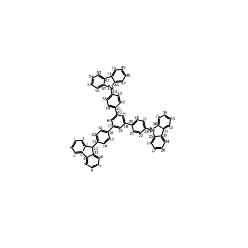 c1ccc2c(c1)-c1ccccc1C2c1ccc(-c2cc(-c3ccc(-n4c5ccccc5c5ccccc54)cc3)cc(-c3ccc(-n4c5ccccc5c5ccccc54)cc3)c2)cc1